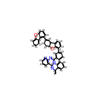 C=C(/N=C(\N=C(/N)c1cccc(-c2cccc3c2OC2CCC(c4cccc5oc6ccccc6c45)=CC32)c1)c1ccccc1)c1ccccc1